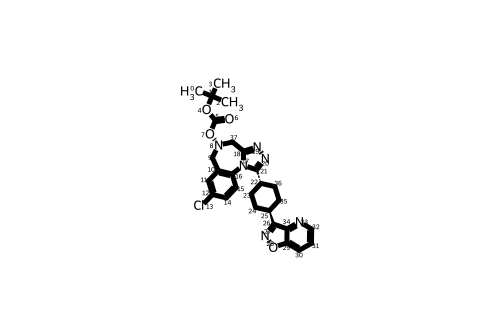 CC(C)(C)OC(=O)ON1Cc2cc(Cl)ccc2-n2c(nnc2[C@H]2CC[C@H](c3noc4cccnc43)CC2)C1